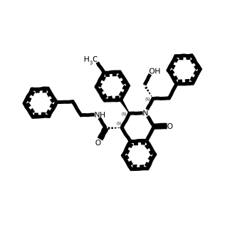 Cc1ccc([C@@H]2[C@@H](C(=O)NCCc3ccccc3)c3ccccc3C(=O)N2[C@H](CO)Cc2ccccc2)cc1